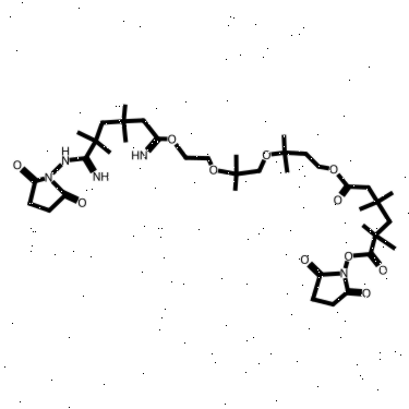 CC(C)(CC(=N)OCCOC(C)(C)COC(C)(C)CCOC(=O)CC(C)(C)CC(C)(C)C(=O)ON1C(=O)CCC1=O)CC(C)(C)C(=N)NN1C(=O)CCC1=O